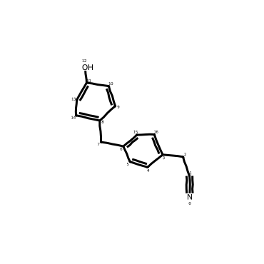 N#CCc1ccc(Cc2ccc(O)cc2)cc1